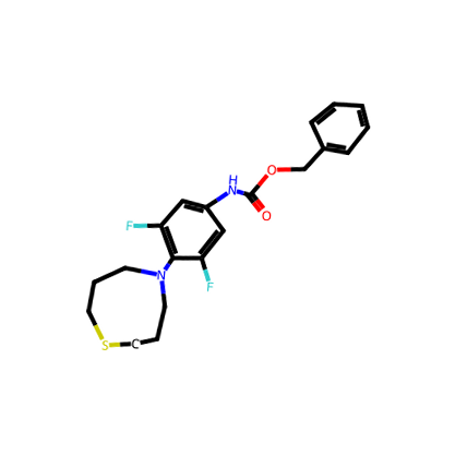 O=C(Nc1cc(F)c(N2CCCSCCC2)c(F)c1)OCc1ccccc1